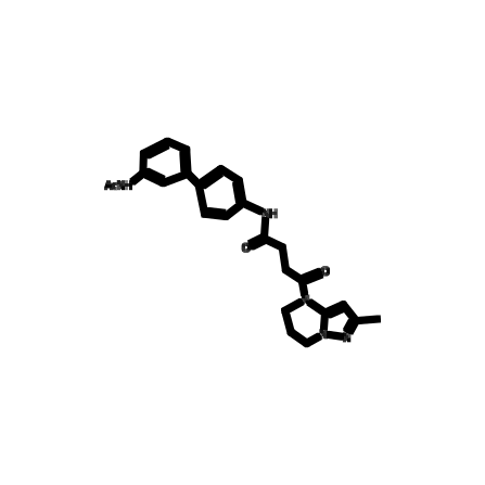 CC(=O)Nc1cccc(-c2ccc(NC(=O)CCC(=O)N3CCCn4nc(C)cc43)cc2)c1